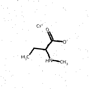 CCC(NC)C(=O)[O-].[Cs+]